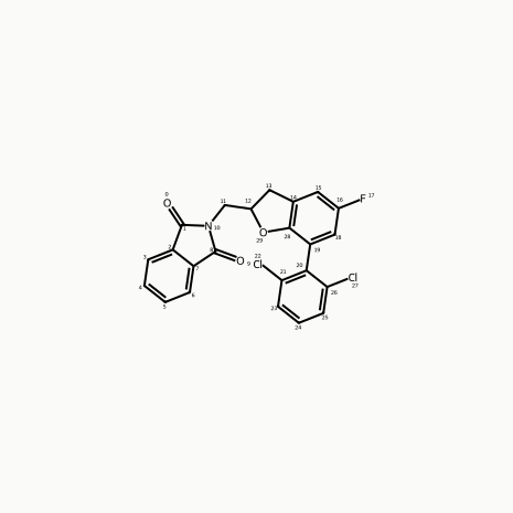 O=C1c2ccccc2C(=O)N1CC1Cc2cc(F)cc(-c3c(Cl)cccc3Cl)c2O1